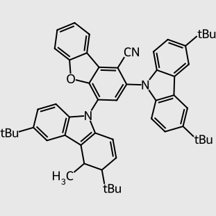 CC1c2c(n(-c3cc(-n4c5ccc(C(C)(C)C)cc5c5cc(C(C)(C)C)ccc54)c(C#N)c4c3oc3ccccc34)c3ccc(C(C)(C)C)cc23)C=CC1C(C)(C)C